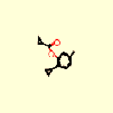 Cc1ccc(C2CC2)c(OC(=O)C2CC2)c1